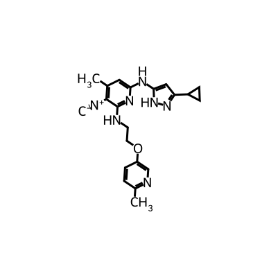 [C-]#[N+]c1c(C)cc(Nc2cc(C3CC3)n[nH]2)nc1NCCOc1ccc(C)nc1